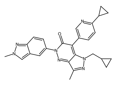 Cc1nn(CC2CC2)c2c(-c3ccc(C4CC4)nc3)c(=O)n(-c3ccc4nn(C)cc4c3)nc12